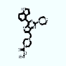 CC(C)(C)OC(=O)N1CCN(Cc2csc3c(-c4cccc5[nH]ccc45)nc(N4CCOCC4)nc23)CC1